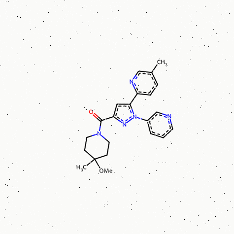 COC1(C)CCN(C(=O)c2cc(-c3ccc(C)cn3)n(-c3cccnc3)n2)CC1